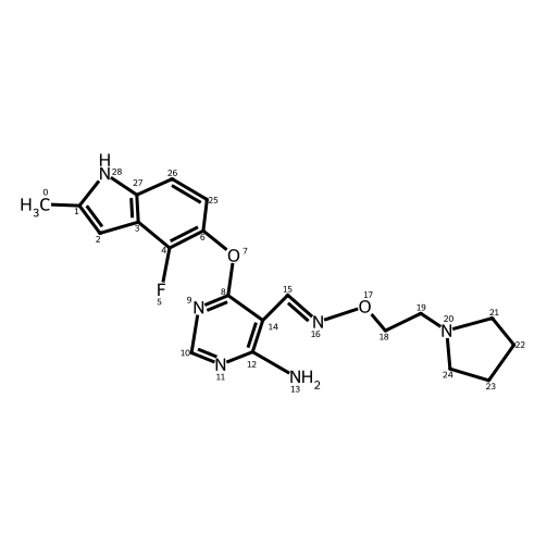 Cc1cc2c(F)c(Oc3ncnc(N)c3C=NOCCN3CCCC3)ccc2[nH]1